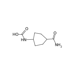 NC(=O)C1CCC(NC(=O)O)CC1